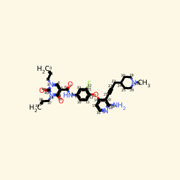 C=CCn1cc(C(=O)Nc2ccc(Oc3ccnc(N)c3C#CCC3CCN(C)CC3)c(F)c2)c(=O)n(CC=C)c1=O